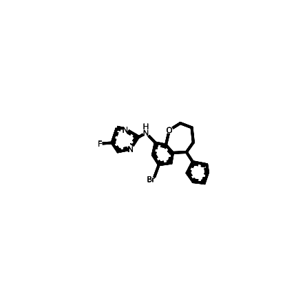 Fc1cnc(Nc2cc(Br)cc3c2OCCCC3c2ccccc2)nc1